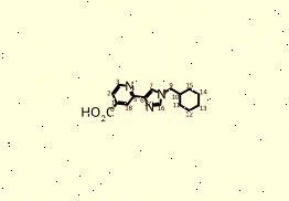 O=C(O)c1ccnc(-c2cn(CC3CCCCC3)cn2)c1